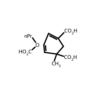 CC1(C(=O)O)C=CC=C(C(=O)O)C1.CCCOC(=O)O